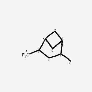 CC1CC(C(F)(F)F)C2CC1C2